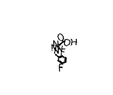 O=C(O)c1nnn(Cc2cc(F)ccc2F)n1